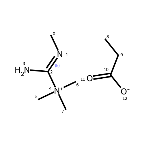 C/N=C(\N)[N+](C)(C)C.CCC(=O)[O-]